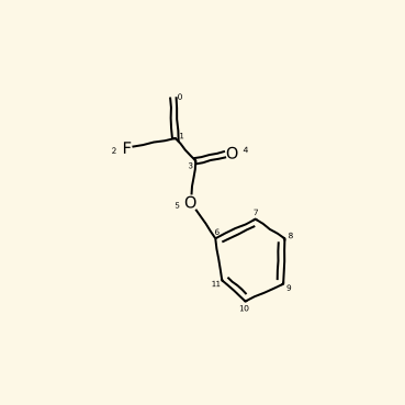 C=C(F)C(=O)Oc1ccccc1